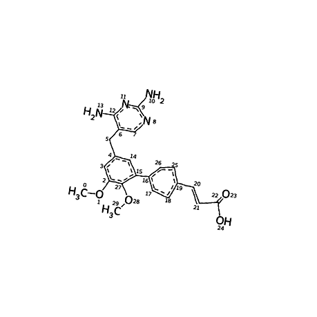 COc1cc(Cc2cnc(N)nc2N)cc(-c2ccc(C=CC(=O)O)cc2)c1OC